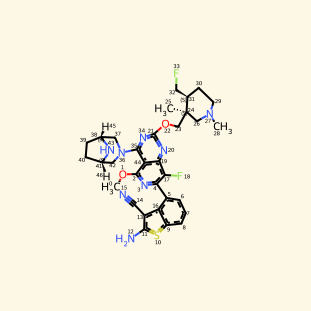 COc1nc(-c2cccc3sc(N)c(C#N)c23)c(F)c2nc(OC[C@]3(C)CN(C)CC[C@@H]3CF)nc(N3C[C@H]4CC[C@@H](C3)N4)c12